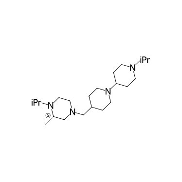 CC(C)N1CCC(N2CCC(CN3CCN(C(C)C)[C@@H](C)C3)CC2)CC1